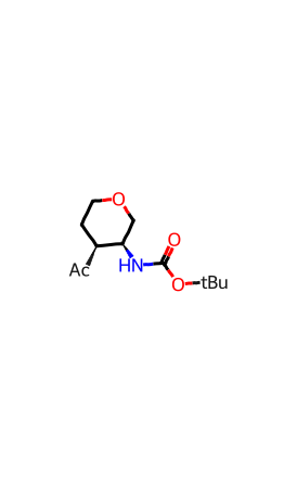 CC(=O)[C@H]1CCOC[C@H]1NC(=O)OC(C)(C)C